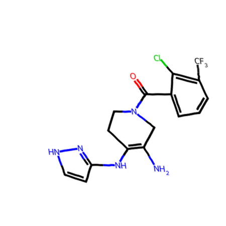 NC1=C(Nc2cc[nH]n2)CCN(C(=O)c2cccc(C(F)(F)F)c2Cl)C1